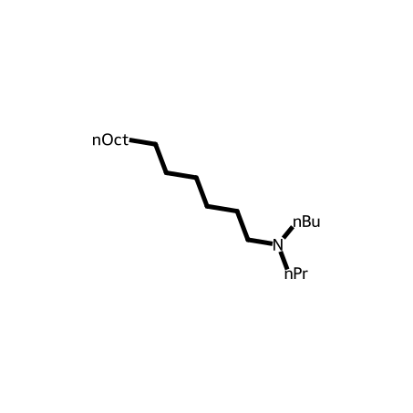 CCCCCCCCCCCCCCN(CCC)CCCC